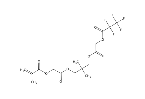 C=C(C)C(=O)OCC(=O)OCC(C)(C)COC(=O)COC(=O)C(F)(F)C(F)(F)F